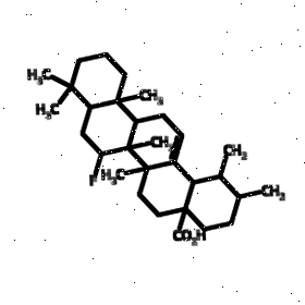 CC1CCC2(C(=O)O)CCC3(C)C(=CCC4C5(C)CCCC(C)(C)C5CC(F)C43C)C2C1C